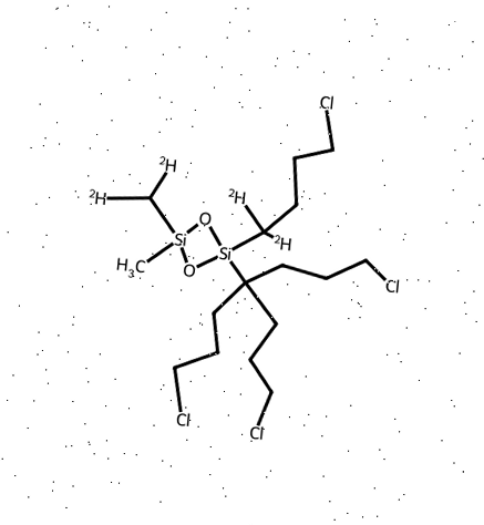 [2H]C([2H])[Si]1(C)O[Si](C([2H])([2H])CCCCl)(C(CCCCl)(CCCCl)CCCCl)O1